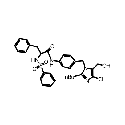 CCCCc1nc(Cl)c(CO)n1Cc1ccc(NC(=O)C(Cc2ccccc2)NS(=O)(=O)c2ccccc2)cc1